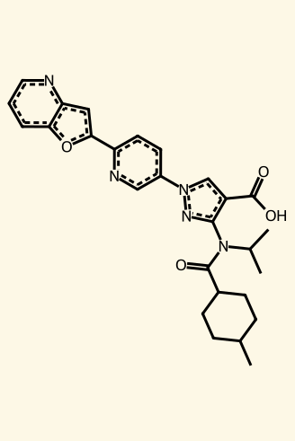 CC1CCC(C(=O)N(c2nn(-c3ccc(-c4cc5ncccc5o4)nc3)cc2C(=O)O)C(C)C)CC1